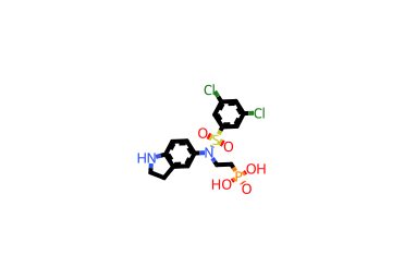 O=P(O)(O)CCN(c1ccc2c(c1)CCN2)S(=O)(=O)c1cc(Cl)cc(Cl)c1